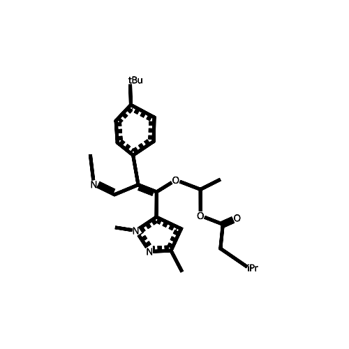 C/N=C\C(=C(\OC(C)OC(=O)CC(C)C)c1cc(C)nn1C)c1ccc(C(C)(C)C)cc1